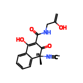 [C-]#[N+][C@@]1(C)C(=O)C(C(=O)NCC(=C)O)=C(O)c2ccccc21